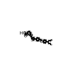 CCCC(CCC)c1ccc(OCc2ccc(-c3csc(COc4cccc(C(=O)O)n4)c3)cc2)cc1